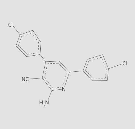 N#Cc1c(-c2ccc(Cl)cc2)cc(-c2ccc(Cl)cc2)nc1N